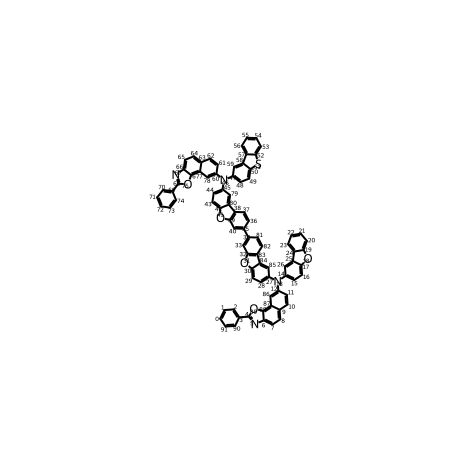 c1ccc(-c2nc3ccc4ccc(N(c5ccc6oc7ccccc7c6c5)c5ccc6oc7cc(-c8ccc9c(c8)oc8ccc(N(c%10ccc%11sc%12ccccc%12c%11c%10)c%10ccc%11ccc%12nc(-c%13ccccc%13)oc%12c%11c%10)cc89)ccc7c6c5)cc4c3o2)cc1